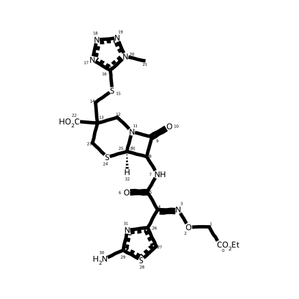 CCOC(=O)CON=C(C(=O)NC1C(=O)N2CC(CSc3nnnn3C)(C(=O)O)CS[C@H]12)c1csc(N)n1